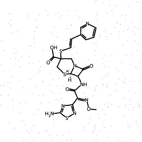 CON=C(C(=O)NC1C(=O)N2CC(SC=Cc3cccnc3)(C(=O)O)CS[C@H]12)c1nsc(N)n1